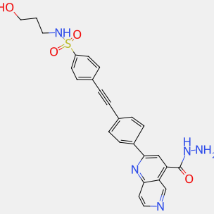 NNC(=O)c1cc(-c2ccc(C#Cc3ccc(S(=O)(=O)NCCCO)cc3)cc2)nc2ccncc12